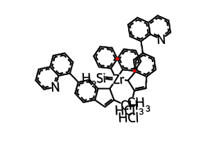 CC1=Cc2ccc(-c3cccc4cccnc34)cc2[CH]1[Zr](=[SiH2])([c]1ccccc1)([c]1ccccc1)[CH]1C(C)=Cc2ccc(-c3cccc4cccnc34)cc21.Cl.Cl